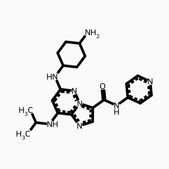 CC(C)Nc1cc(NC2CCC(N)CC2)nn2c(C(=O)Nc3ccncc3)cnc12